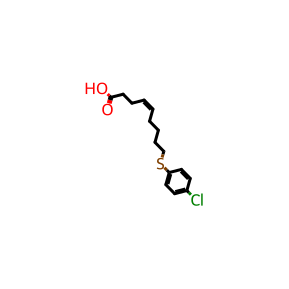 O=C(O)CC/C=C\CCCCSc1ccc(Cl)cc1